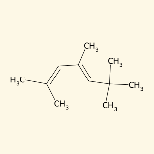 CC(C)=CC(C)=CC(C)(C)C